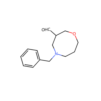 O=CC1COCCCN(Cc2ccccc2)C1